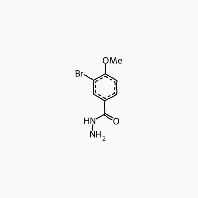 COc1ccc(C(=O)NN)cc1Br